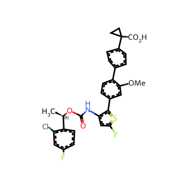 COc1cc(-c2sc(F)cc2NC(=O)O[C@H](C)c2ccc(F)cc2Cl)ccc1-c1ccc(C2(C(=O)O)CC2)cc1